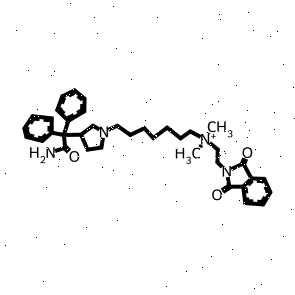 C[N+](C)(CCCCCCCN1CCC(C(C(N)=O)(c2ccccc2)c2ccccc2)C1)CCN1C(=O)c2ccccc2C1=O